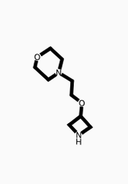 C1CN(CCOC2CNC2)CCO1